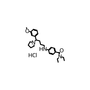 CCN(CC)C(=O)c1ccc(NCCCC(c2cccc(OC)c2)N2CCCC2)cc1.Cl